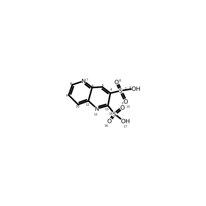 O=S(=O)(O)c1cc2ncccc2nc1S(=O)(=O)O